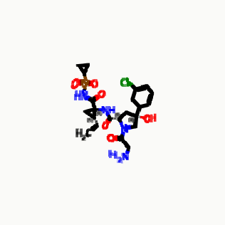 C=C[C@@H]1C[C@]1(NC(=O)[C@@H]1C[C@@](O)(C2C=CC=C(Cl)C2)CN1C(=O)CN)C(=O)NS(=O)(=O)C1CC1